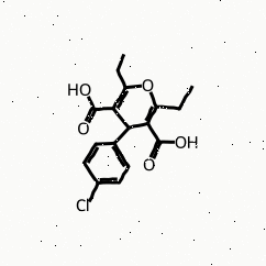 CCC1=C(C(=O)O)C(c2ccc(Cl)cc2)C(C(=O)O)=C(CC)O1